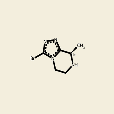 C[C@H]1NCCn2c(Br)nnc21